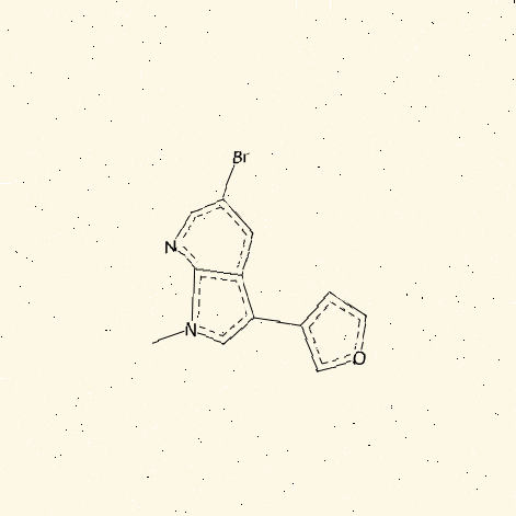 Cn1cc(-c2ccoc2)c2cc(Br)cnc21